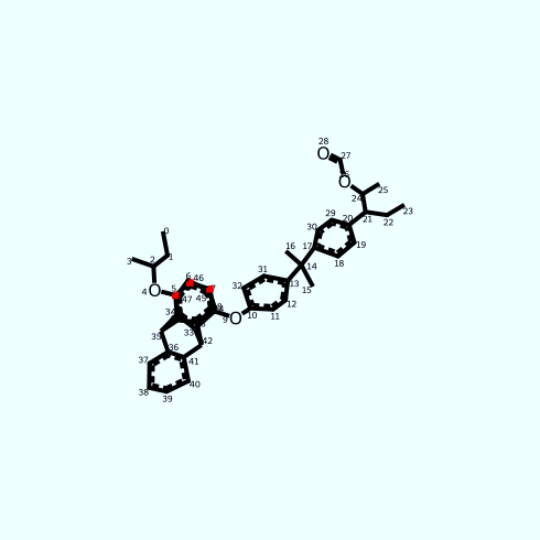 CCC(C)Oc1ccc(Oc2ccc(C(C)(C)c3ccc(C(CC)C(C)OC=O)cc3)cc2)c2c1C1c3ccccc3C2c2ccccc21